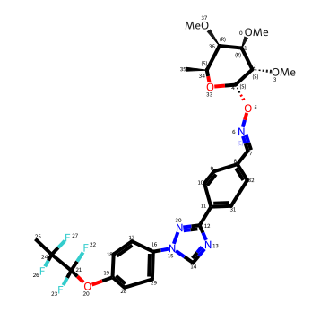 CO[C@H]1[C@H](OC)[C@H](O/N=C/c2ccc(-c3ncn(-c4ccc(OC(F)(F)C(C)(F)F)cc4)n3)cc2)O[C@@H](C)[C@H]1OC